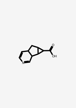 O=C(O)C1C2CC3C=CN=CC3C21